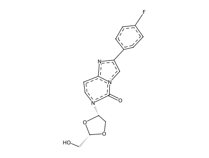 O=c1n([C@@H]2CO[C@H](CO)O2)ccc2nc(-c3ccc(F)cc3)cn12